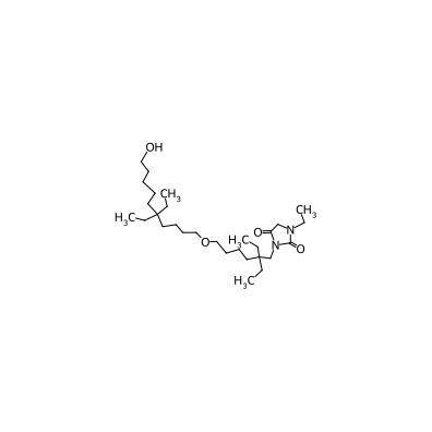 CCN1CC(=O)N(CC(CC)(CC)CCCCOCCCCC(CC)(CC)CCCCCO)C1=O